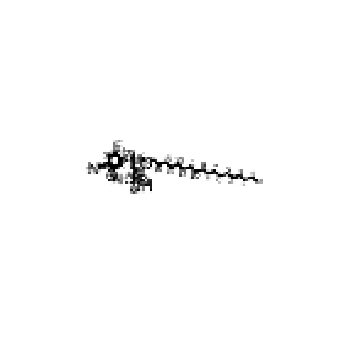 CCCCCCCCCCCCCCCCCCOC[C@H](COP(=O)(O)O)Oc1cc(OC)c(C#N)cc1F